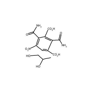 CC(O)CO.NC(=O)c1c(C(=O)O)cc([N+](=O)[O-])c(C(N)=O)c1C(=O)O